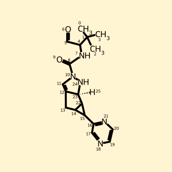 CC(C)(C)C(C=O)NC(=O)N1C=C2CC3C(c4cnccn4)C3[C@@H]2N1